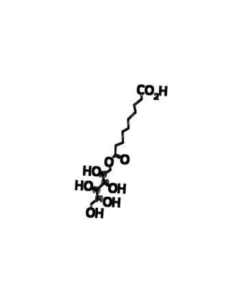 O=C(O)CCCCCCCCC(=O)OC[C@@H](O)[C@@H](O)[C@H](O)[C@H](O)CO